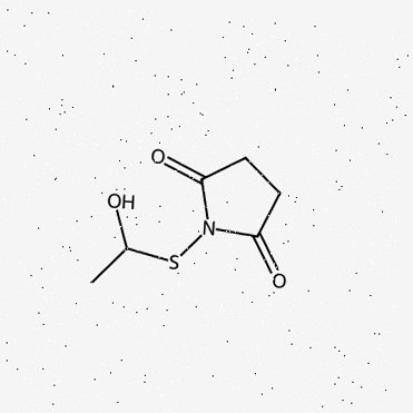 CC(O)SN1C(=O)CCC1=O